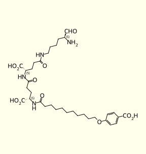 N[C@H](C=O)CCCCNC(=O)CC[C@H](NC(=O)CC[C@H](NC(=O)CCCCCCCCCCOc1ccc(C(=O)O)cc1)C(=O)O)C(=O)O